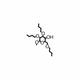 CCCCOCC1O[C@H](OC)C(OCCCC)C(OCCCC)[C@@H]1O